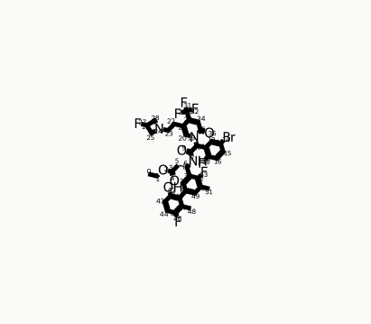 CCOC(=O)C[C@H](NC(=O)C(c1cc(Br)ccc1F)n1cc(CCN2CC(F)C2)c(C(F)(F)F)cc1=O)c1cc(-c2c(O)ccc(F)c2C)cc(C)c1F